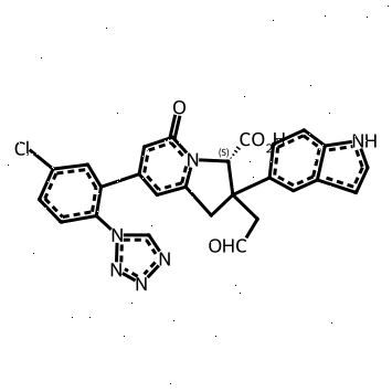 O=CCC1(c2ccc3[nH]ccc3c2)Cc2cc(-c3cc(Cl)ccc3-n3cnnn3)cc(=O)n2[C@@H]1C(=O)O